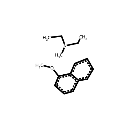 CCN(C)CC.COc1cccc2ccccc12